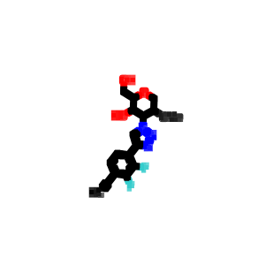 C#Cc1ccc(-c2cn(C3C(OC)COC(CO)C3O)nn2)c(F)c1F